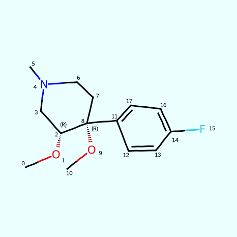 CO[C@@H]1CN(C)CC[C@@]1(OC)c1ccc(F)cc1